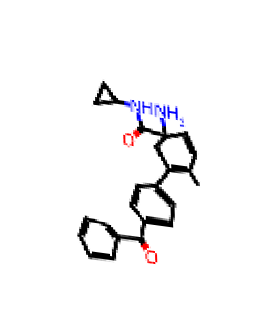 CC1=C(c2ccc(C(=O)c3ccccc3)cc2)CC(N)(C(=O)NC2CC2)C=C1